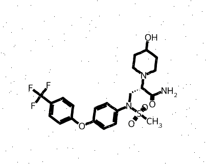 CS(=O)(=O)N(C[C@@H](C(N)=O)N1CCC(O)CC1)c1ccc(Oc2ccc(C(F)(F)F)cc2)cc1